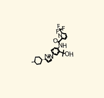 CC(C)(O)c1cc(-n2ccc([C@H]3CC[C@H](C)CC3)n2)ccc1NC(=O)c1cccc(C(F)(F)F)n1